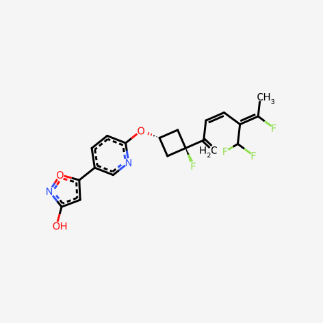 C=C(/C=C\C(=C(/C)F)C(F)F)[C@]1(F)C[C@H](Oc2ccc(-c3cc(O)no3)cn2)C1